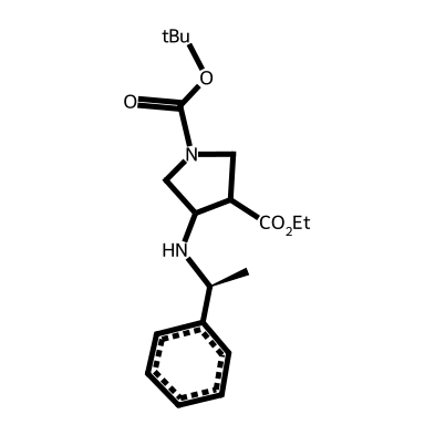 CCOC(=O)C1CN(C(=O)OC(C)(C)C)CC1N[C@@H](C)c1ccccc1